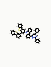 c1ccc(-c2cc(-c3cccc4c3c3ccccc3n4-c3cc(-c4cccc5c4sc4ccccc45)c4sc5ccccc5c4c3)nc(-c3ccccc3)n2)cc1